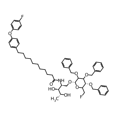 C[C@@H](O)[C@@H](O)[C@H](CO[C@H]1OC(CF)[C@@H](OCc2ccccc2)C(OCc2ccccc2)C1OCc1ccccc1)NC(=O)CCCCCCCCCCc1ccc(Oc2ccc(F)cc2)cc1